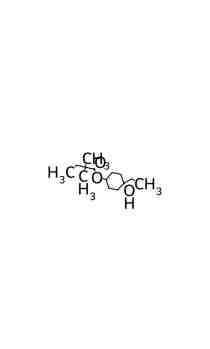 CCC1(O)CCC(OC(=O)C(C)(C)CC)CC1